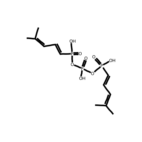 CC(C)=C/C=C/P(=O)(O)OP(=O)(O)OP(=O)(O)/C=C/C=C(C)C